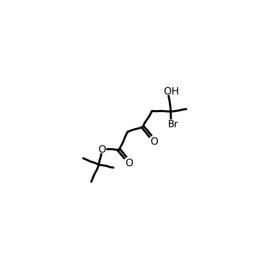 CC(O)(Br)CC(=O)CC(=O)OC(C)(C)C